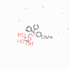 COc1ccc(C(OCC2O[C@@H](O)C(O)C2O)(c2ccccc2)c2ccccc2)cc1